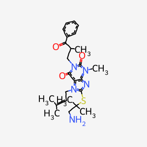 CC(C)=CCn1c(SC(C)(C)CN)nc2c1c(=O)n(CC(C)C(=O)c1ccccc1)c(=O)n2C